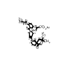 CCNC(=O)Nc1ccc(OC(C(=O)O)C(C)(C)C)cc1C(=O)N1CCC(N2CCCC3(C2)CC(C)(C)OC3=O)CC1